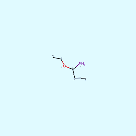 CCOC(P)CC